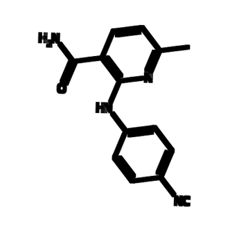 [C-]#[N+]c1ccc(Nc2nc(C)ccc2C(N)=O)cc1